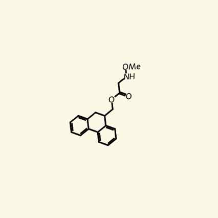 CONCC(=O)OCC1Cc2ccccc2-c2ccccc21